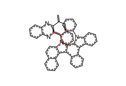 C=C(/C=C\C(=C/C)n1c2ccc3ccccc3c2c2c3ccccc3c3c4ccccc4n(-c4ccccc4)c3c21)c1nc2ccccc2nc1-c1ccccc1